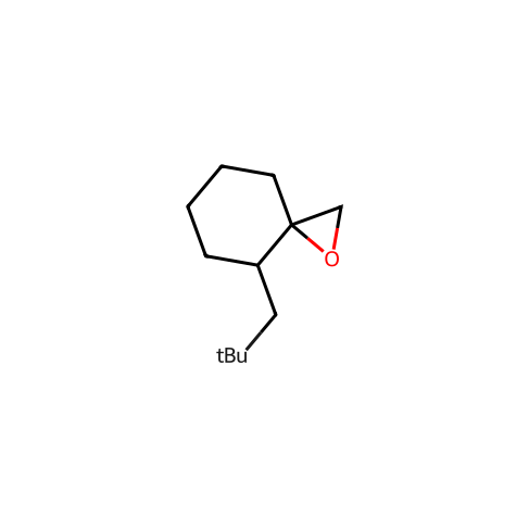 CC(C)(C)CC1CCCCC12CO2